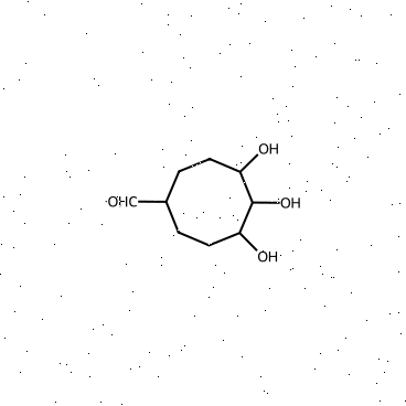 O=[C]C1CCC(O)C(O)C(O)CC1